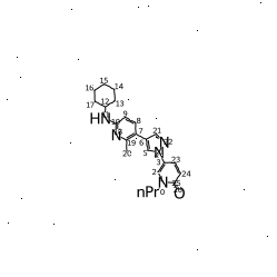 CCCn1cc(-n2cc(-c3ccc(NC4CCCCC4)nc3C)cn2)ccc1=O